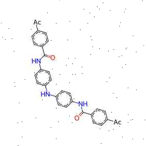 CC(=O)c1ccc(C(=O)Nc2ccc(Nc3ccc(NC(=O)c4ccc(C(C)=O)cc4)cc3)cc2)cc1